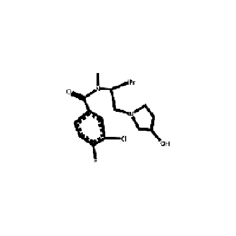 CC(C)C(CN1CCC(O)C1)N(C)C(=O)c1ccc(F)c(Cl)c1